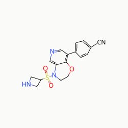 N#Cc1ccc(-c2cncc3c2OCCN3S(=O)(=O)C2CNC2)cc1